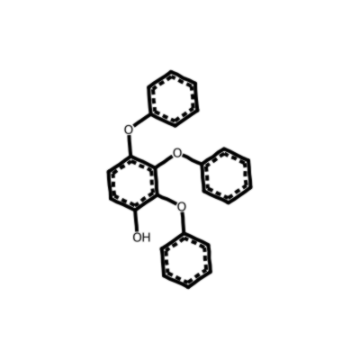 Oc1ccc(Oc2ccccc2)c(Oc2ccccc2)c1Oc1ccccc1